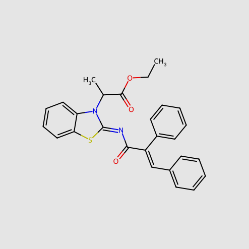 CCOC(=O)C(C)n1c(=NC(=O)/C(=C/c2ccccc2)c2ccccc2)sc2ccccc21